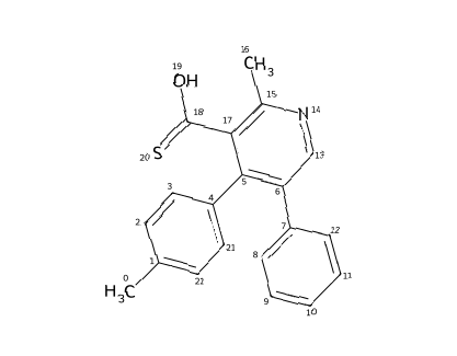 Cc1ccc(-c2c(-c3ccccc3)cnc(C)c2C(O)=S)cc1